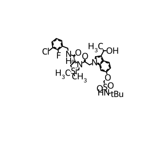 CC(O)c1cn(CC(=O)N2C[Si](C)(C)C[C@H]2C(=O)NCc2cccc(Cl)c2F)c2cc(OCS(=O)(=O)NC(C)(C)C)ccc12